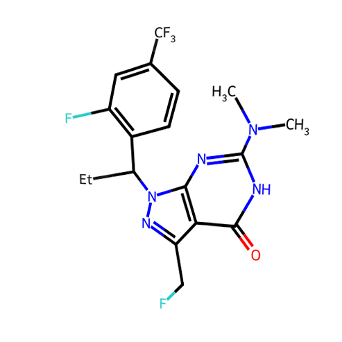 CCC(c1ccc(C(F)(F)F)cc1F)n1nc(CF)c2c(=O)[nH]c(N(C)C)nc21